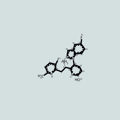 Cc1ccc(F)c(C[C@H](N)c2ncccc2-n2ncc3cc(F)ccc32)n1.Cl